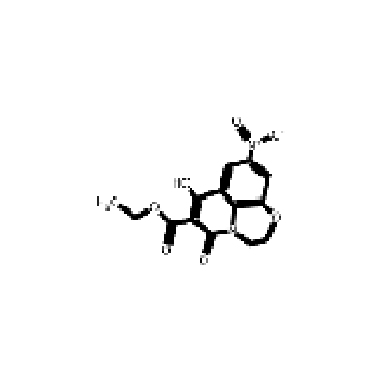 CCOC(=O)c1c(O)c2cc([N+](=O)[O-])cc3c2n(c1=O)CCO3